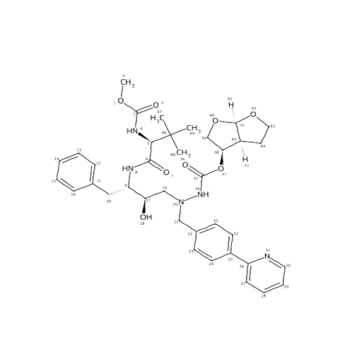 COC(=O)N[C@H](C(=O)N[C@@H](Cc1ccccc1)[C@H](O)CN(Cc1ccc(-c2ccccn2)cc1)NC(=O)O[C@H]1CO[C@H]2OCC[C@H]21)C(C)(C)C